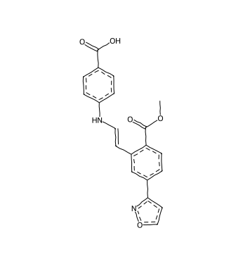 COC(=O)c1ccc(-c2ccon2)cc1C=CNc1ccc(C(=O)O)cc1